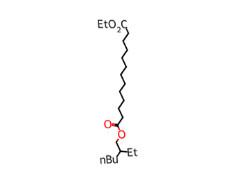 CCCCC(CC)COC(=O)CCCCCCCCCCCC(=O)OCC